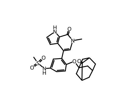 Cn1cc(-c2cc(NS(C)(=O)=O)ccc2OC23CC4CC(C2)C(=O)C(C4)C3)c2cc[nH]c2c1=O